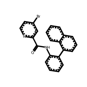 O=C(Nc1ccccc1-c1cccc2ccccc12)c1cc(Br)ccn1